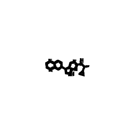 CC(Nc1ncc2c(-c3ccc4nccnc4c3)c[nH]c2n1)C1CC1